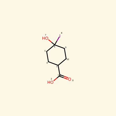 O=C(O)C1CCC(O)(I)CC1